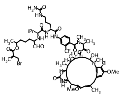 C=C(CBr)C(=O)OC(C)CCCC(C=O)N[C@H](C(=O)N[C@@H](CCCNC(N)=O)C(=O)Nc1ccc(C(=O)N(C)[C@@H](C)C(=O)O[C@H]2CC(O)N(C)c3cc(cc(OC)c3Cl)C/C(C)=C/C=C/[C@@H](OC)[C@@]3(O)C[C@H](OC(=O)N3)[C@@H](C)[C@@H]3O[C@@]23C)c(C(F)(F)F)c1)C(C)C